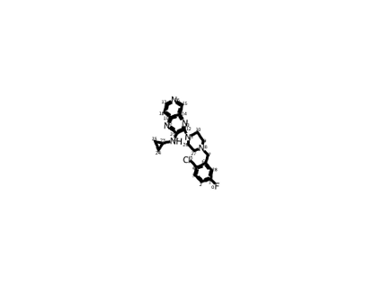 Fc1ccc(Cl)c(CN2CCN(c3nc4cnccc4nc3NC3CC3)CC2)c1